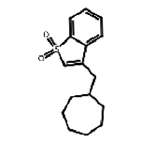 O=S1(=O)C=C(CC2CCCCCC2)c2cc[c]cc21